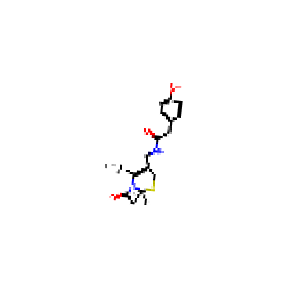 O=C(Cc1ccc(O)cc1)NCC1=C(C(=O)O)N2C(=O)C[C@@H]2SC1